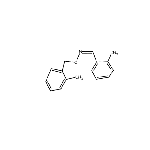 Cc1ccccc1/[C]=N\OCc1ccccc1C